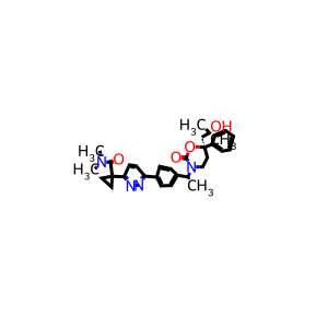 C[C@@H](c1ccc(-c2ccc(C3(C(=O)N(C)C)CC3)nn2)cc1)N1CC[C@](CC(C)(C)O)(c2ccccc2)OC1=O